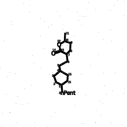 CCCCCC1CCC(CCC2CCC(C)OC2=O)CC1